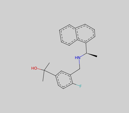 C[C@@H](NCc1cc(C(C)(C)O)ccc1F)c1cccc2ccccc12